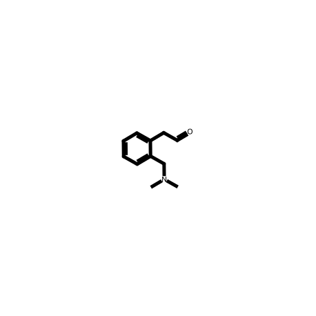 CN(C)Cc1ccccc1C[C]=O